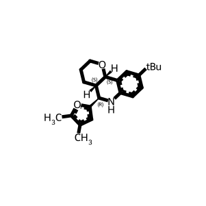 Cc1cc([C@@H]2Nc3ccc(C(C)(C)C)cc3[C@H]3OCCC[C@H]32)oc1C